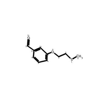 CSCCOc1cccc(C=O)c1